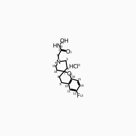 Cl.O=C(CN1CCC2(CCc3cc(F)ccc3O2)CC1)NO